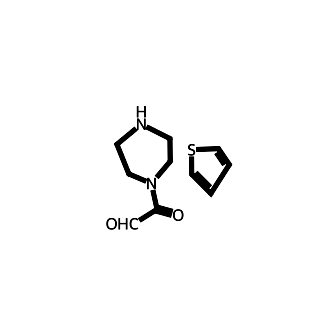 O=CC(=O)N1CCNCC1.c1ccsc1